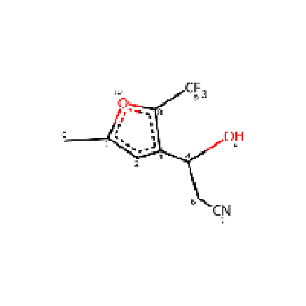 Cc1cc(C(O)CC#N)c(C(F)(F)F)o1